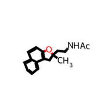 CC(=O)NCCC1(C)Cc2c(ccc3ccccc23)O1